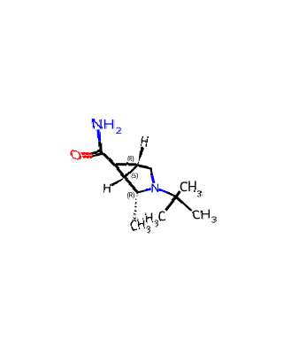 C[C@@H]1[C@@H]2C(C(N)=O)[C@@H]2CN1C(C)(C)C